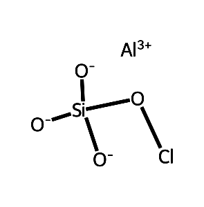 [Al+3].[O-][Si]([O-])([O-])OCl